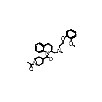 COc1ccccc1OCCN(C)CC1CCc2ccccc2N1C(=O)C1CCN(C(C)=O)CC1